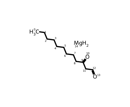 CCCCCCCCCC(=O)CC=O.[MgH2]